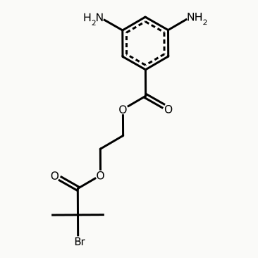 CC(C)(Br)C(=O)OCCOC(=O)c1cc(N)cc(N)c1